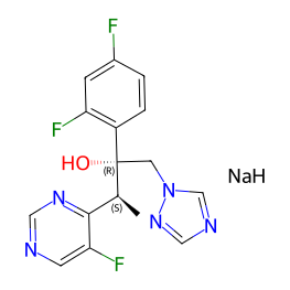 C[C@@H](c1ncncc1F)[C@](O)(Cn1cncn1)c1ccc(F)cc1F.[NaH]